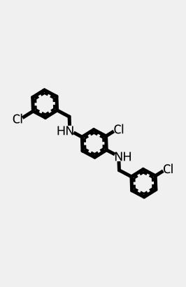 Clc1cccc(CNc2ccc(NCc3cccc(Cl)c3)c(Cl)c2)c1